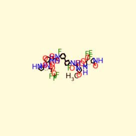 CO[C@@H]1C[C@@H](C(=O)N[C@@H](C[C@@H]2CCNC2=O)C(=O)COC(F)(F)F)N(C(=O)C(=O)Nc2cc(-c3ccc(F)c(NC(=O)C(=O)NC4(C(=O)N[C@@H](C[C@@H]5CCNC5=O)C(=O)COC(F)(F)F)CCOCC4)c3)ccc2F)C1